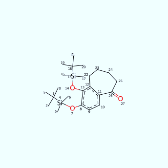 CC(C)(C)[Si](C)(C)Oc1ccc2c(c1O[Si](C)(C)C(C)(C)C)CCCCC2=O